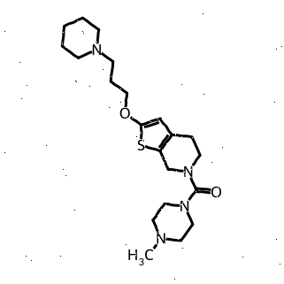 CN1CCN(C(=O)N2CCc3cc(OCCCN4CCCCC4)sc3C2)CC1